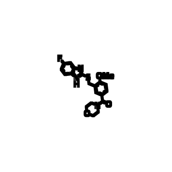 COc1ccc(C(=O)N2CCOCC2)cc1CSc1nc2cc(F)ccc2[nH]1